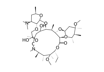 CC[C@H]1OC(=O)[C@H](C)[C@@H](O[C@H]2C[C@@](C)(OC)[C@@H](C)[C@H](C)O2)[C@H](C)[C@@H](OC2O[C@H](C)C[C@H](N(C)C)[C@H]2OCC(=O)O)[C@](C)(O)C[C@@H](C)CN(C)[C@H](C)[C@@H](C)[C@]1(C)OC